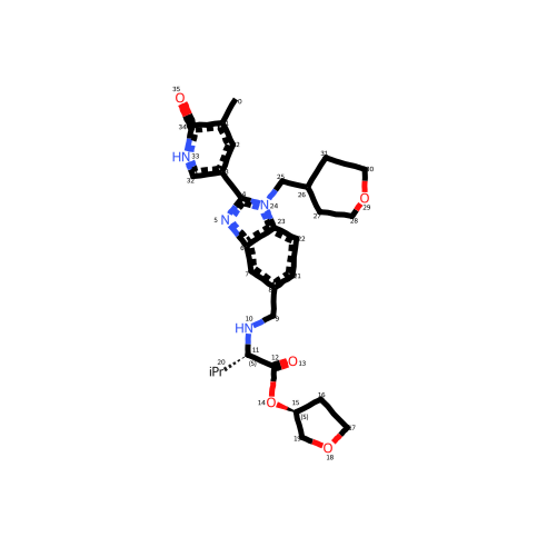 Cc1cc(-c2nc3cc(CN[C@H](C(=O)O[C@H]4CCOC4)C(C)C)ccc3n2CC2CCOCC2)c[nH]c1=O